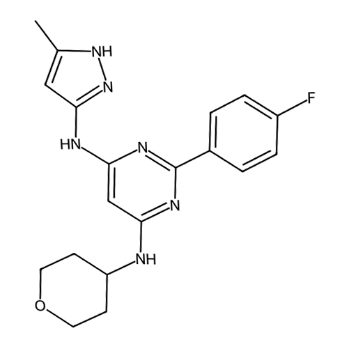 Cc1cc(Nc2cc(NC3CCOCC3)nc(-c3ccc(F)cc3)n2)n[nH]1